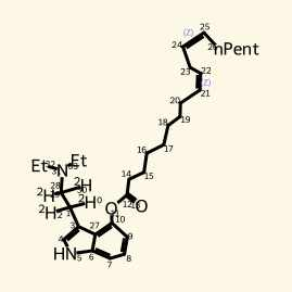 [2H]C([2H])(c1c[nH]c2cccc(OC(=O)CCCCCCC/C=C\C/C=C\CCCCC)c12)C([2H])([2H])N(CC)CC